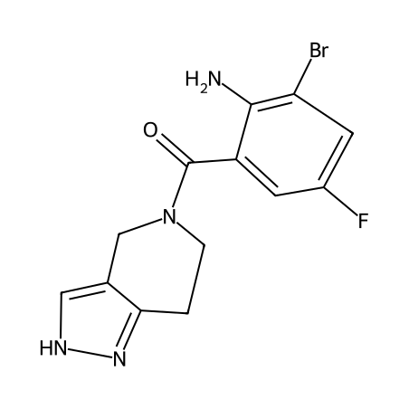 Nc1c(Br)cc(F)cc1C(=O)N1CCc2n[nH]cc2C1